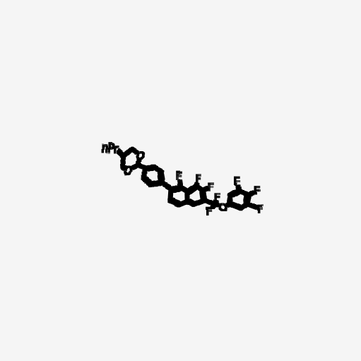 CCCC1COC(c2ccc(-c3ccc4cc(C(F)(F)Oc5cc(F)c(F)c(F)c5)c(F)c(F)c4c3F)cc2)OC1